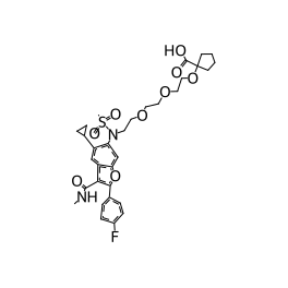 CNC(=O)c1c(-c2ccc(F)cc2)oc2cc(N(CCOCCOCCOC3(C(=O)O)CCCC3)S(C)(=O)=O)c(C3CC3)cc12